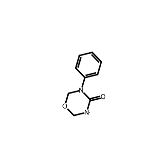 O=C1[N]COCN1c1ccccc1